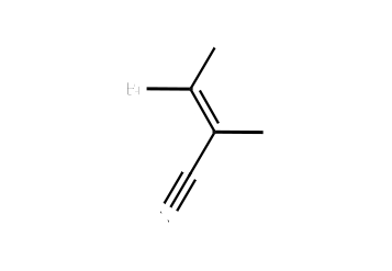 C/C(Br)=C(\C)C#N